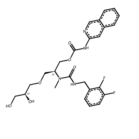 CN(C(=O)NCc1cccc(F)c1F)[C@@H](COC[C@@H](O)CO)COC(=O)Nc1cc2ccccc2cn1